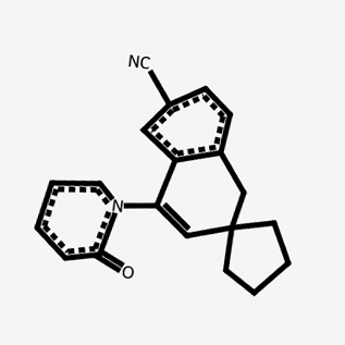 N#Cc1ccc2c(c1)C(n1ccccc1=O)=CC1(CCCC1)C2